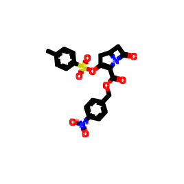 Cc1ccc(S(=O)(=O)OC2=C(C(=O)OCc3ccc([N+](=O)[O-])cc3)N3C(=O)CC3C2)cc1